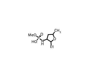 CCC1OC(C)CC1NP(=O)(O)OC